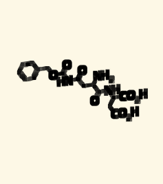 NC(CC(=O)NC(=O)OCc1ccccc1)C(=O)NC(CC(=O)O)C(=O)O